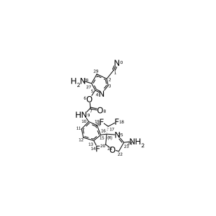 N#Cc1cnc(OC(=O)Nc2ccc(F)c([C@]3(C(F)F)COCC(N)=N3)c2)c(N)c1